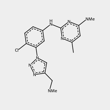 CNCc1cn(-c2cc(Nc3nc(C)cc(NC)n3)ccc2Cl)nn1